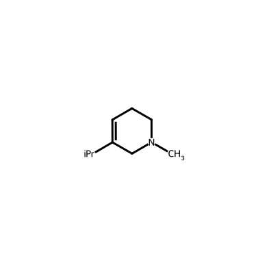 CC(C)C1=CCCN(C)C1